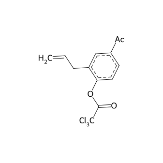 C=CCc1cc(C(C)=O)ccc1OC(=O)C(Cl)(Cl)Cl